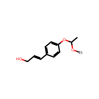 CCOC(C)Oc1ccc(/C=C/CO)cc1